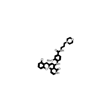 COc1cc(C(=O)NCCCN2CCOCC2)ccc1Nc1cc(Cc2c(Cl)cccc2Cl)nc2cc[nH]c(=O)c12